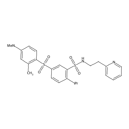 CNc1ccc(S(=O)(=O)c2ccc(C(C)C)c(S(=O)(=O)NCCc3ccccn3)c2)c(C)c1